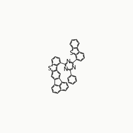 c1ccc(-c2nc(-c3cccc4c3sc3ccccc34)nc(-c3cccc4sc5cc6c(cc5c34)-c3cccc4cccc-6c34)n2)cc1